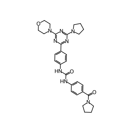 O=C(Nc1ccc(C(=O)N2CCCC2)cc1)Nc1ccc(-c2nc(N3CCCC3)nc(N3CCOCC3)n2)cc1